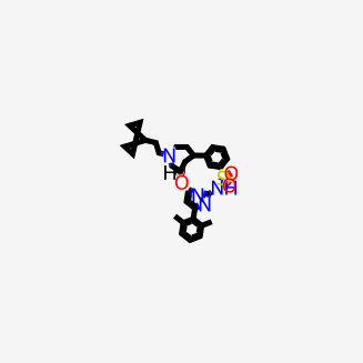 Cc1cccc(C)c1-c1cc2nc(n1)NS(=O)(=O)c1cccc(c1)C1CCN(CCC3C4(CC4)C34CC4)C[C@H](C1)O2